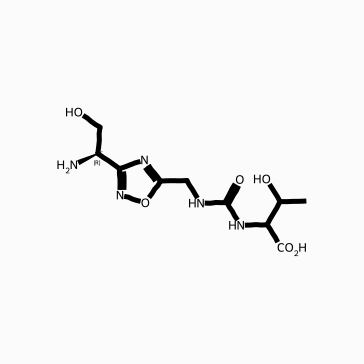 CC(O)C(NC(=O)NCc1nc([C@@H](N)CO)no1)C(=O)O